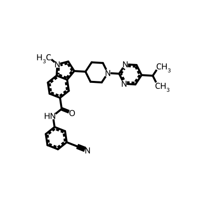 CC(C)c1cnc(N2CCC(c3cn(C)c4ccc(C(=O)Nc5cccc(C#N)c5)cc34)CC2)nc1